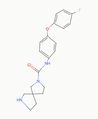 O=C(Nc1ccc(Oc2ccc(F)cc2)cc1)N1CCC2(CCNC2)C1